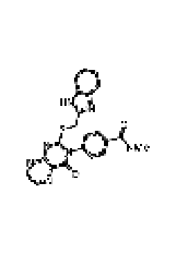 CNC(=O)c1ccc(-n2c(SCc3nc4ccccc4[nH]3)nc3nccnc3c2=O)cc1